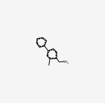 Cc1cc(-c2ccccc2)ccc1CN